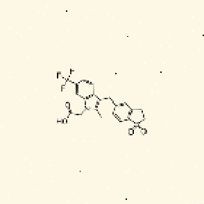 Cc1c(Cc2ccc3c(c2)CCS3(=O)=O)c2ccc(C(F)(F)F)cc2n1CC(=O)O